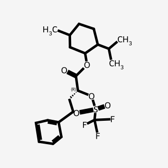 CC1CCC(C(C)C)C(OC(=O)[C@@H](CCc2ccccc2)OS(=O)(=O)C(F)(F)F)C1